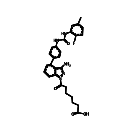 Cc1ccc(F)c(NC(=O)Nc2ccc(-c3cccc4c3c(N)nn4C(=O)CCCCCC(=O)O)cc2)c1